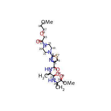 C=C(NC(=O)c1csc(N2CCN(C(=O)COCCOC)CC2)n1)C(=O)NC(=C)C(=O)OC